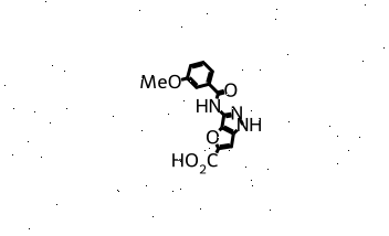 COc1cccc(C(=O)Nc2n[nH]c3cc(C(=O)O)oc23)c1